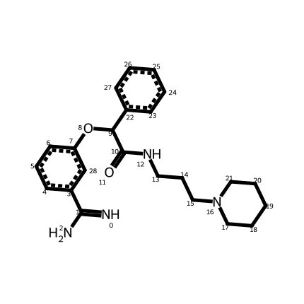 N=C(N)c1cccc(OC(C(=O)NCCCN2CCCCC2)c2ccccc2)c1